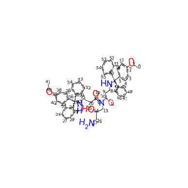 COc1ccc(C(NCCC(=O)N(CC(O)CN)C(=O)CCNC(c2ccccc2)(c2ccccc2)c2ccc(OC)cc2)(c2ccccc2)c2ccccc2)cc1